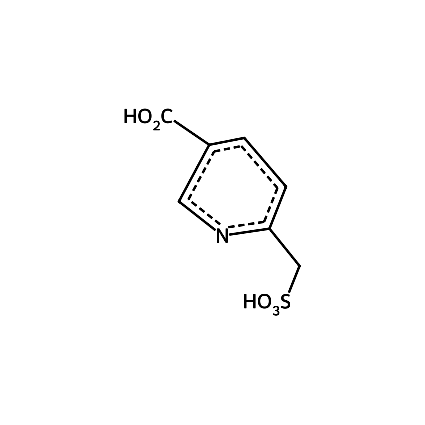 O=C(O)c1ccc(CS(=O)(=O)O)nc1